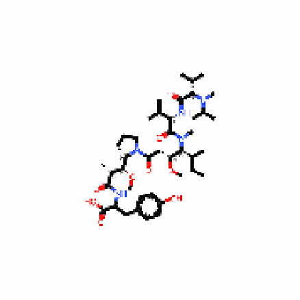 CCC(C)[C@@H]([C@@H](CC(=O)N1CCC[C@H]1[C@H](OC)[C@@H](C)C(=O)NC(Cc1ccc(O)cc1)C(=O)O)OC)N(C)C(=O)[C@@H](NC(=O)[C@H](C(C)C)N(C)C(C)C)C(C)C